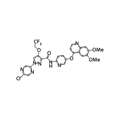 COc1cc2nccc(Oc3ccc(NC(=O)c4nn(-c5cnc(Cl)cn5)cc4OCC(F)(F)F)nc3)c2cc1OC